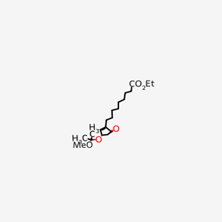 CCOC(=O)CCCCCCCCC1=CC(OC(C)(C)OC)CC1=O